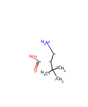 CC(C)(C)CCN.O=CO